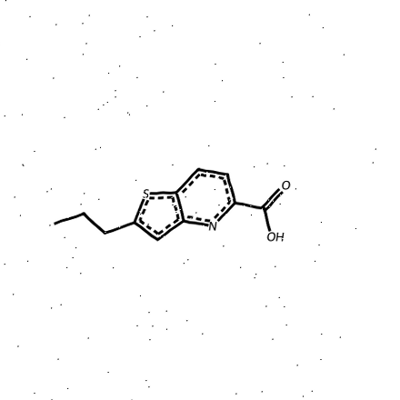 CCCc1cc2nc(C(=O)O)ccc2s1